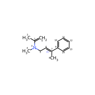 C=C(C)N(C)C/C=C(\C)c1ccccc1